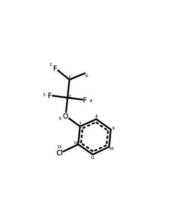 CC(F)C(F)(F)Oc1ccc[c]c1Cl